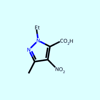 CCn1nc(C)c([N+](=O)[O-])c1C(=O)O